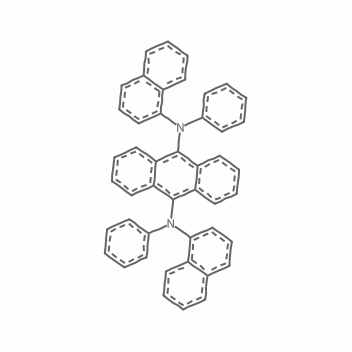 c1ccc(N(c2cccc3ccccc23)c2c3ccccc3c(N(c3ccccc3)c3cccc4ccccc34)c3ccccc23)cc1